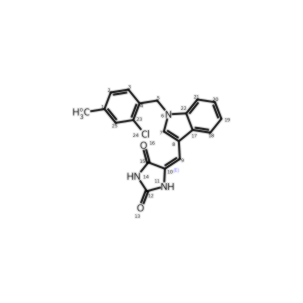 Cc1ccc(Cn2cc(/C=C3/NC(=O)NC3=O)c3ccccc32)c(Cl)c1